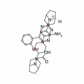 Nc1nnc(-c2ccccc2O)cc1N1CC2CC[C@@H](C1)N2c1ncc(C2CCC(N3CC4CCC(C3)N4CC(=O)O)CC2)cn1